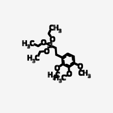 CCO[Si](CCc1ccc(OC)c(OC)c1OC)(OCC)OCC